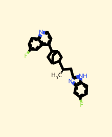 C[C@H](Cc1nc2cc(F)ccc2[nH]1)C1CC2CC1CC2c1ccnc2ccc(F)cc12